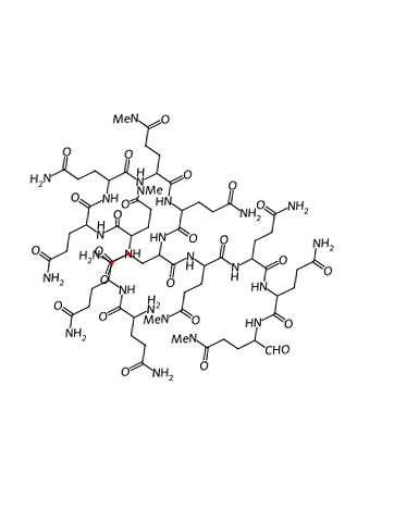 CNC(=O)CCC(C=O)NC(=O)C(CCC(N)=O)NC(=O)C(CCC(N)=O)NC(=O)C(CCC(=O)NC)NC(=O)C(CCC(N)=O)NC(=O)C(CCC(N)=O)NC(=O)C(CCC(=O)NC)NC(=O)C(CCC(N)=O)NC(=O)C(CCC(N)=O)NC(=O)C(CCC(=O)NC)NC(=O)C(CCC(N)=O)NC(=O)C(N)CCC(N)=O